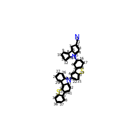 N#Cc1ccc2c(c1)c1ccccc1n2-c1ccc2sc3ccc(-n4c5ccccc5c5c6sc7ccccc7c6ccc54)cc3c2c1